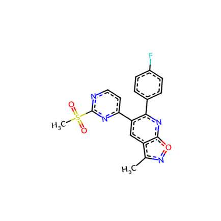 Cc1noc2nc(-c3ccc(F)cc3)c(-c3ccnc(S(C)(=O)=O)n3)cc12